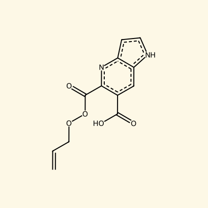 C=CCOOC(=O)c1nc2cc[nH]c2cc1C(=O)O